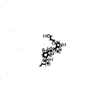 CCCS(=O)(=O)Nc1ccc(F)c(NC(=O)Nc2ncnc3[nH]nc(OCCCO)c23)c1F